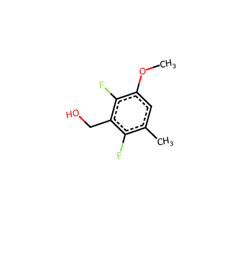 COc1cc(C)c(F)c(CO)c1F